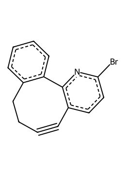 Brc1ccc2c(n1)-c1ccccc1CCC#C2